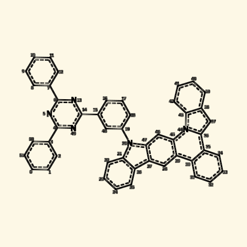 c1ccc(-c2nc(-c3ccccc3)nc(-c3cccc(-n4c5ccccc5c5cc6c7ccccc7c7cc8ccccc8n7c6cc54)c3)n2)cc1